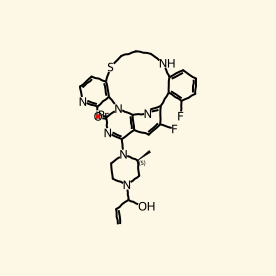 C=CC(O)N1CCN(c2nc(=O)n3c4nc(c(F)cc24)-c2c(F)cccc2NCCCSc2ccnc(C(C)C)c2-3)[C@@H](C)C1